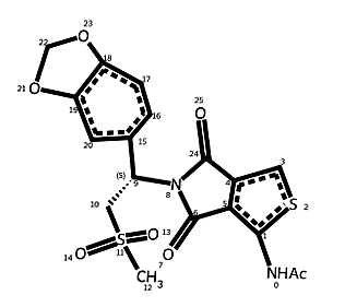 CC(=O)Nc1scc2c1C(=O)N([C@H](CS(C)(=O)=O)c1ccc3c(c1)OCO3)C2=O